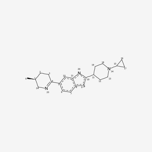 C[C@H]1CCC(c2ccc3sc(C4CCN(C5CC5)CC4)nc3c2)=NC1